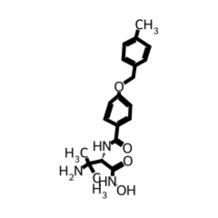 Cc1ccc(COc2ccc(C(=O)N[C@H](C(=O)NO)C(C)(C)N)cc2)cc1